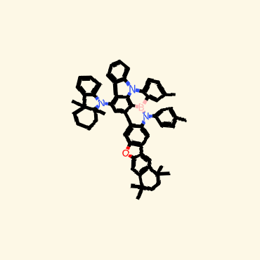 Cc1ccc(N2B3c4cc(C)ccc4-n4c5ccccc5c5c(N6c7ccccc7C7(C)CCCCC67C)cc(c3c54)-c3cc4oc5cc6c(cc5c4cc32)C(C)(C)CCC6(C)C)cc1